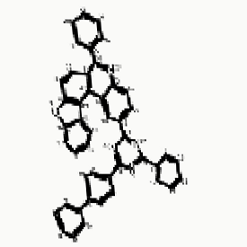 c1ccc(-c2ccc(-c3nc(-c4ccccc4)nc(-c4ccc5nc(-c6ccccc6)c6ccc7oc8ccccc8c7c6c5c4)n3)cc2)cc1